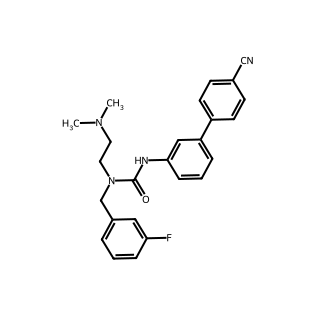 CN(C)CCN(Cc1cccc(F)c1)C(=O)Nc1cccc(-c2ccc(C#N)cc2)c1